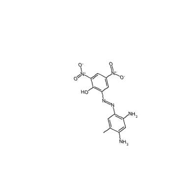 Cc1cc(N=Nc2cc([N+](=O)[O-])cc([N+](=O)[O-])c2O)c(N)cc1N